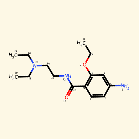 CCOc1cc(N)ccc1C(=O)NCCN(CC)CC